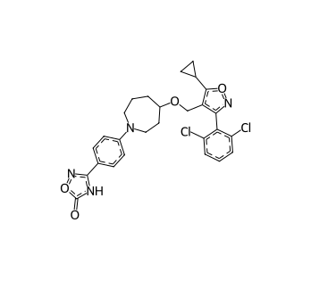 O=c1[nH]c(-c2ccc(N3CCCC(OCc4c(-c5c(Cl)cccc5Cl)noc4C4CC4)CC3)cc2)no1